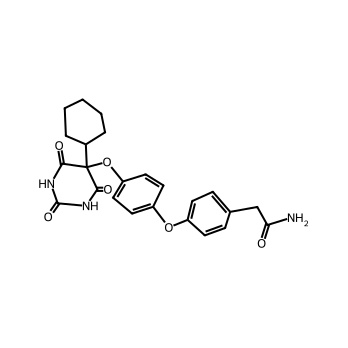 NC(=O)Cc1ccc(Oc2ccc(OC3(C4CCCCC4)C(=O)NC(=O)NC3=O)cc2)cc1